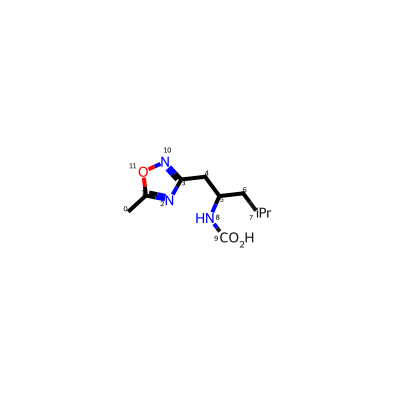 Cc1nc(CC(CC(C)C)NC(=O)O)no1